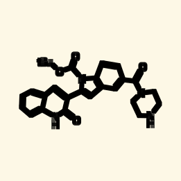 CC(C)(C)OC(=O)n1c(-c2cc3ccccc3[nH]c2=O)cc2cc(C(=O)N3CCNCC3)ccc21